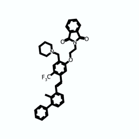 Cc1c(/C=C/c2cc(OCCN3C(=O)c4ccccc4C3=O)c(CN3CCCCC3)cc2C(F)(F)F)cccc1-c1ccccc1